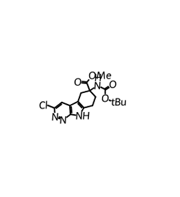 COC(=O)C1(NC(=O)OC(C)(C)C)CCc2[nH]c3nnc(Cl)cc3c2C1